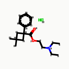 CCN(CC)CCOC(=O)C1(c2ccccc2)CC(C)(C)C1.Cl